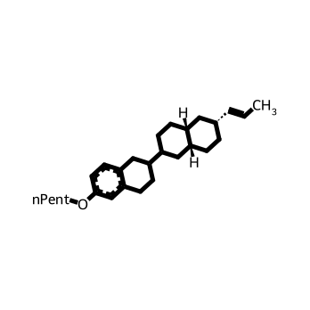 CC=C[C@@H]1CC[C@@H]2CC(C3CCc4cc(OCCCCC)ccc4C3)CC[C@@H]2C1